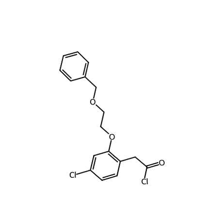 O=C(Cl)Cc1ccc(Cl)cc1OCCOCc1ccccc1